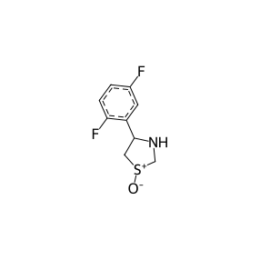 [O-][S+]1CNC(c2cc(F)ccc2F)C1